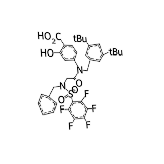 CC(C)(C)c1cc(CN(C(=O)CN(Cc2ccccc2)S(=O)(=O)c2c(F)c(F)c(F)c(F)c2F)c2ccc(C(=O)O)c(O)c2)cc(C(C)(C)C)c1